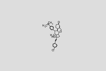 CN(C)c1ccc(C2CC3(C)C(CCC3(O)C#Cc3ccc(Cl)cc3)C3OCC4=CC(=O)CCC4=C23)cc1